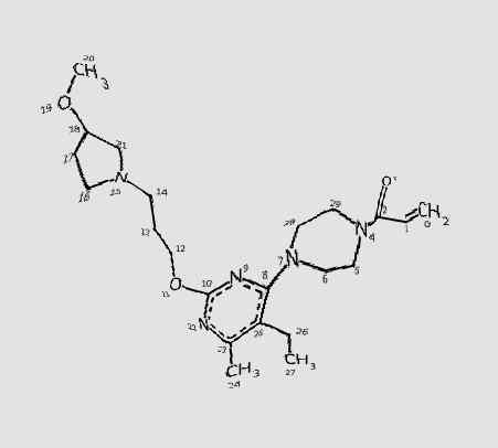 C=CC(=O)N1CCN(c2nc(OCCCN3CCC(OC)C3)nc(C)c2CC)CC1